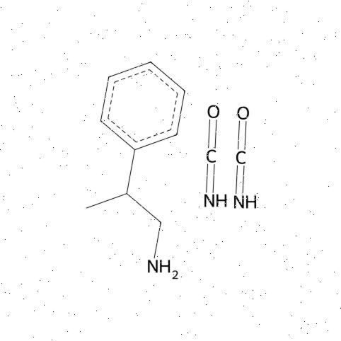 CC(CN)c1ccccc1.N=C=O.N=C=O